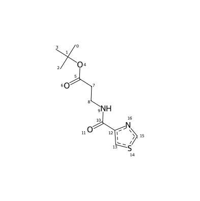 CC(C)(C)OC(=O)CCNC(=O)c1cs[c]n1